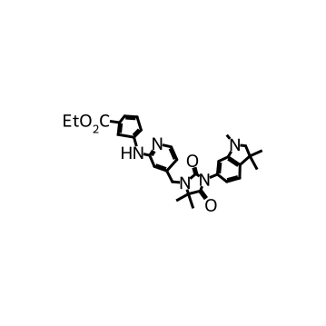 CCOC(=O)c1cccc(Nc2cc(CN3C(=O)N(c4ccc5c(c4)N(C)CC5(C)C)C(=O)C3(C)C)ccn2)c1